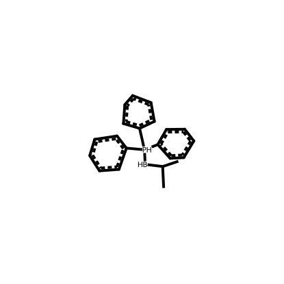 CC(C)B[PH](c1ccccc1)(c1ccccc1)c1ccccc1